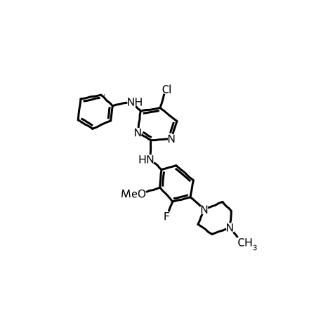 COc1c(Nc2ncc(Cl)c(Nc3[c]cccc3)n2)ccc(N2CCN(C)CC2)c1F